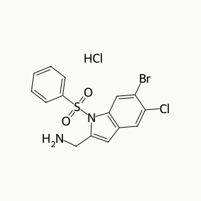 Cl.NCc1cc2cc(Cl)c(Br)cc2n1S(=O)(=O)c1ccccc1